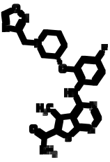 Cc1c(C(N)=O)sc2ncnc(Nc3ccc(F)cc3O[C@H]3CCCN(Cc4ncon4)C3)c12